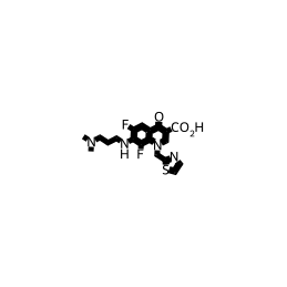 CN(C)CCCNc1c(F)cc2c(=O)c(C(=O)O)cn(Cc3nccs3)c2c1F